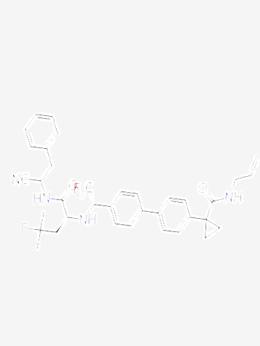 C=CCNC(=O)C1(c2ccc(-c3ccc([C@H](N[C@@H](CC(C)(C)F)C(=O)NC(C#N)Cc4ccccc4)C(F)(F)F)cc3)cc2)CC1